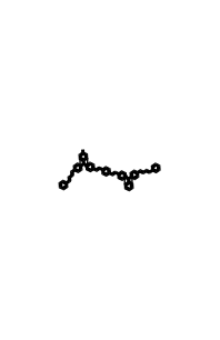 Cc1ccc(N(c2ccc(/C=C/C=C/c3ccccc3)cc2)c2ccc(/C=C/c3ccc(/C=C/c4ccc(N(c5ccccc5)c5ccc(/C=C/C=C/c6ccccc6)cc5)cc4)cc3)cc2)cc1